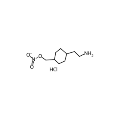 Cl.NCCC1CCC(CO[N+](=O)[O-])CC1